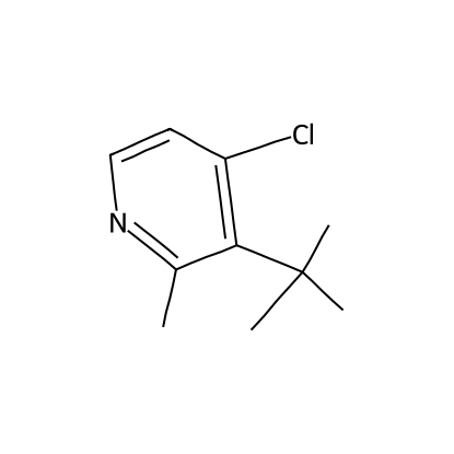 Cc1nccc(Cl)c1C(C)(C)C